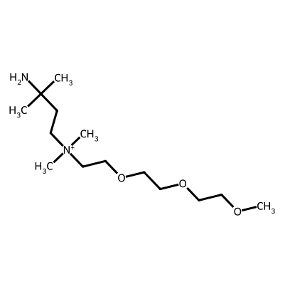 COCCOCCOCC[N+](C)(C)CCC(C)(C)N